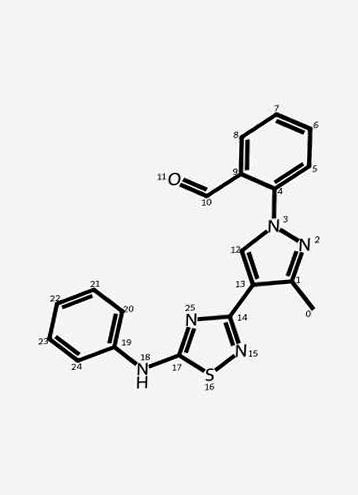 Cc1nn(-c2ccccc2C=O)cc1-c1nsc(Nc2ccccc2)n1